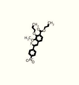 C=CCOC(=O)c1ccc(/C=C(\F)c2ccc([N+](=O)[O-])cc2)c(OC)c1OCC=C